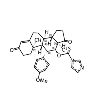 COc1ccc([C@@H]2[C@H]3[C@@H](CCC4=CC(=O)CC[C@@]43C)[C@@H]3CCC(=O)[C@@]3(C)[C@H]2OC(=S)n2ccnc2)cc1